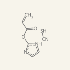 C=CC(=O)Oc1ncc[nH]1.N#CS